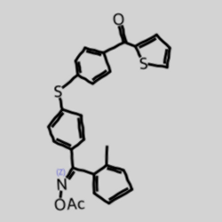 CC(=O)O/N=C(/c1ccc(Sc2ccc(C(=O)c3cccs3)cc2)cc1)c1ccccc1C